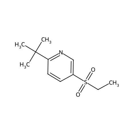 CCS(=O)(=O)c1ccc(C(C)(C)C)nc1